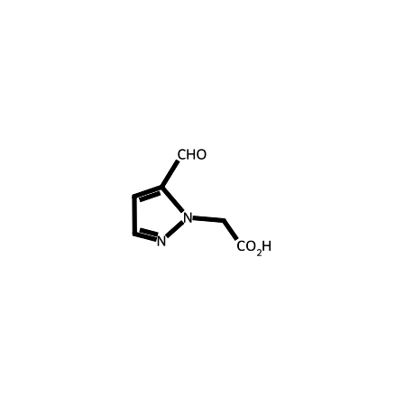 O=Cc1ccnn1CC(=O)O